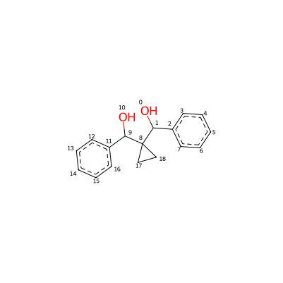 OC(c1ccccc1)C1(C(O)c2ccccc2)CC1